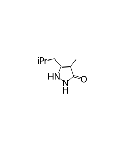 Cc1c(CC(C)C)[nH][nH]c1=O